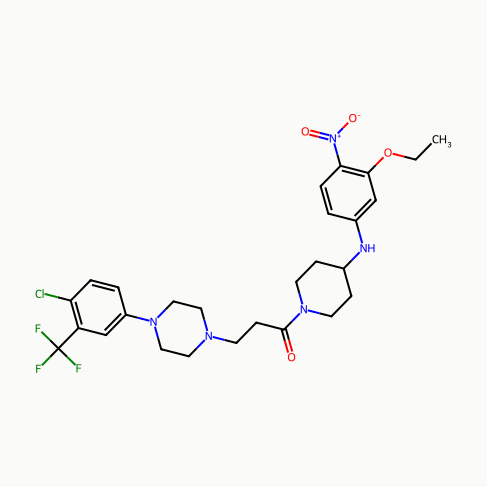 CCOc1cc(NC2CCN(C(=O)CCN3CCN(c4ccc(Cl)c(C(F)(F)F)c4)CC3)CC2)ccc1[N+](=O)[O-]